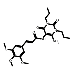 CCCn1c(N)c(NC(=O)C=Cc2cc(OC)c(OC)c(OC)c2)c(=O)n(CCC)c1=O